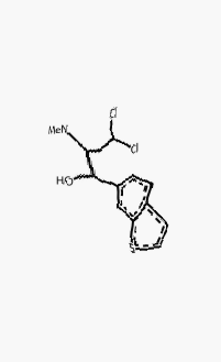 CNC(C(Cl)Cl)C(O)c1ccc2ccsc2c1